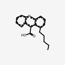 CCCCCc1cccc2nc3ccccc3c(C(=O)O)c12